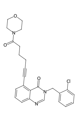 O=C(CCCC#Cc1cccc2ncn(Cc3ccccc3Cl)c(=O)c12)N1CCOCC1